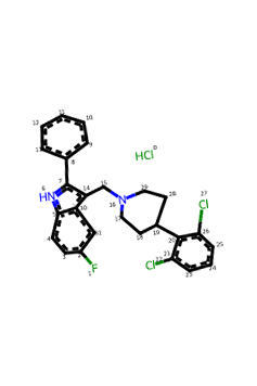 Cl.Fc1ccc2[nH]c(-c3ccccc3)c(CN3CCC(c4c(Cl)cccc4Cl)CC3)c2c1